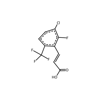 O=C(O)C=Cc1c(C(F)(F)F)ccc(Cl)c1F